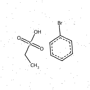 Brc1ccccc1.CCS(=O)(=O)O